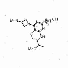 CNC1CN(c2nc(N)nc3c2OC[C@@H]([C@@H](C)OC)N3)C1.Cl.Cl